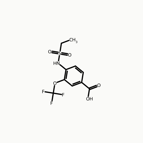 CCS(=O)(=O)Nc1ccc(C(=O)O)cc1OC(F)(F)F